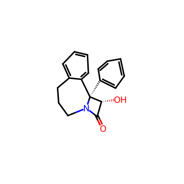 O=C1[C@@H](O)[C@]2(c3ccccc3)c3ccccc3CCCN12